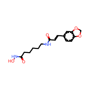 O=C(/C=C/c1ccc2c(c1)OCO2)NCCCCCC(=O)NO